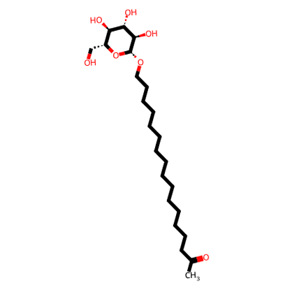 CC(=O)CCCCCCCCCCCCCCCO[C@@H]1O[C@H](CO)[C@@H](O)[C@H](O)[C@H]1O